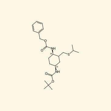 CC(C)SCC1C[C@@H](NC(=O)OC(C)(C)C)CC[C@H]1NC(=O)OCc1ccccc1